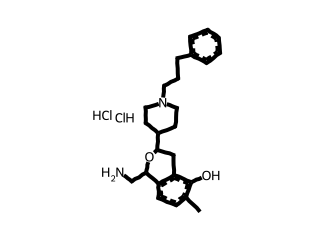 Cc1ccc2c(c1O)CC(C1CCN(CCCc3ccccc3)CC1)OC2CN.Cl.Cl